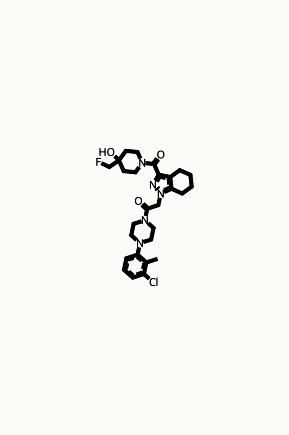 Cc1c(Cl)cccc1N1CCN(C(=O)Cn2nc(C(=O)N3CCC(O)(CF)CC3)c3c2CCCC3)CC1